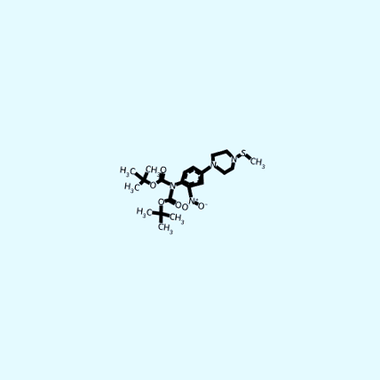 CSN1CCN(c2ccc(N(C(=O)OC(C)(C)C)C(=O)OC(C)(C)C)c([N+](=O)[O-])c2)CC1